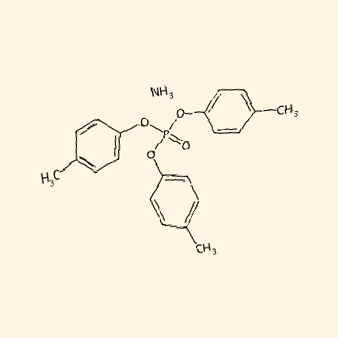 Cc1ccc(OP(=O)(Oc2ccc(C)cc2)Oc2ccc(C)cc2)cc1.N